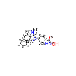 CCN(CC)C(C)(c1ccc2ccccc2c1)N(C(=O)O)c1ccc(C(=O)NO)cc1